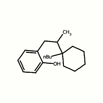 CCCCC1(C(C)Cc2ccccc2O)CCCCC1